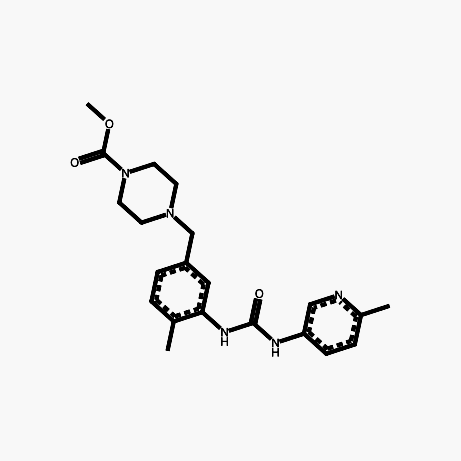 COC(=O)N1CCN(Cc2ccc(C)c(NC(=O)Nc3ccc(C)nc3)c2)CC1